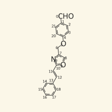 O=Cc1ccc(OCc2coc(/C=C/c3ccccc3)n2)cc1